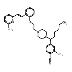 CCCCCC(c1ccc(C#N)c(C)c1)N1CCN(CCOc2ccccc2C=Cc2cccc(C)n2)CC1